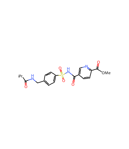 COC(=O)c1ccc(C(=O)NS(=O)(=O)c2ccc(CNC(=O)C(C)C)cc2)cn1